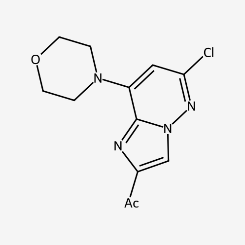 CC(=O)c1cn2nc(Cl)cc(N3CCOCC3)c2n1